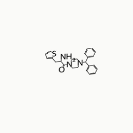 NC(Cc1cccs1)C(=O)N1CCN(C(c2ccccc2)c2ccccc2)CC1